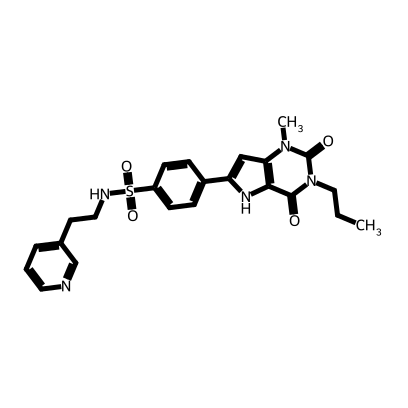 CCCn1c(=O)c2[nH]c(-c3ccc(S(=O)(=O)NCCc4cccnc4)cc3)cc2n(C)c1=O